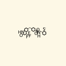 CSc1ccccc1CNS(=O)(=O)c1ccc(Cc2ccc3[nH]c(=O)cc(C(F)(F)F)c3c2)cc1